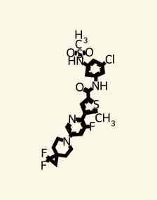 Cc1sc(C(=O)Nc2cc(Cl)cc(NS(C)(=O)=O)c2)cc1-c1ncc(N2CCC3(CC2)CC3(F)F)cc1F